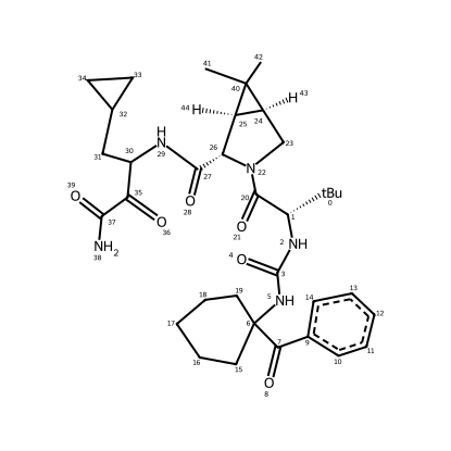 CC(C)(C)[C@H](NC(=O)NC1(C(=O)c2ccccc2)CCCCC1)C(=O)N1C[C@H]2[C@@H]([C@H]1C(=O)NC(CC1CC1)C(=O)C(N)=O)C2(C)C